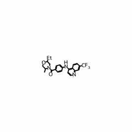 CCC1CN(C(=O)c2ccc(Nc3ccnc4cc(C(F)(F)F)ccc34)cc2)C(C)CO1